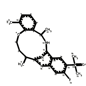 CC1CCOc2c(cccc2C(F)(F)F)C(C)Nc2nc1nc1cc(F)c(P(C)(C)=O)cc21